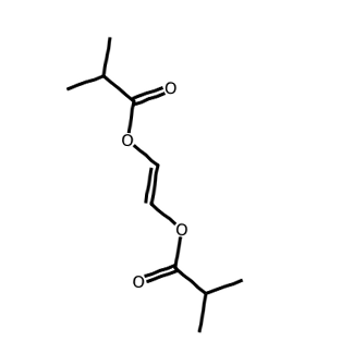 CC(C)C(=O)OC=COC(=O)C(C)C